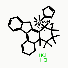 CC12C(=C3Cc4ccccc4C3=C3C=CCCC31)[C](C)([Zr]([CH3])([CH3])([CH3])([CH3])(=[SiH2])(=[SiH2])[C]1=CC=CC1)C(C)(C)C(C)(C)C2(C)C.Cl.Cl